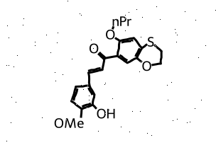 CCCOc1cc2c(cc1C(=O)C=Cc1ccc(OC)c(O)c1)OCCS2